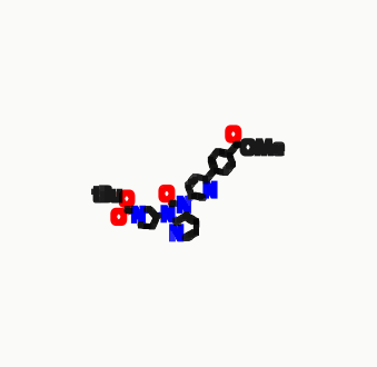 COC(=O)c1ccc(-c2ccc(-n3c(=O)n([C@H]4CCN(C(=O)OC(C)(C)C)C4)c4ncccc43)cn2)cc1